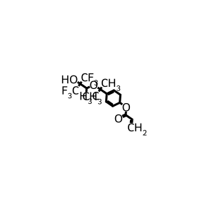 C=CC(=O)OC1C=CC(C(C)(C)OC(C)C(O)(C(F)(F)F)C(F)(F)F)=CC1